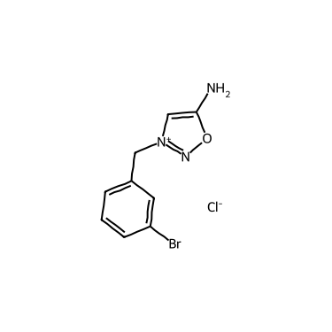 Nc1c[n+](Cc2cccc(Br)c2)no1.[Cl-]